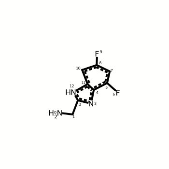 NCc1nc2c(F)cc(F)cc2[nH]1